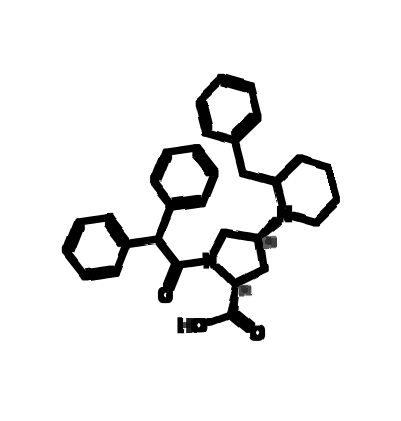 O=C(O)[C@@H]1C[C@H](N2CCCCC2Cc2ccccc2)CN1C(=O)C(c1ccccc1)c1ccccc1